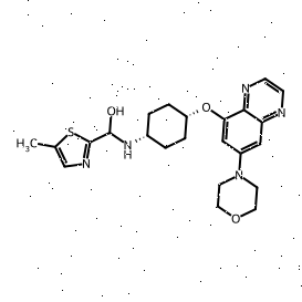 Cc1cnc(C(O)N[C@H]2CC[C@@H](Oc3cc(N4CCOCC4)cc4nccnc34)CC2)s1